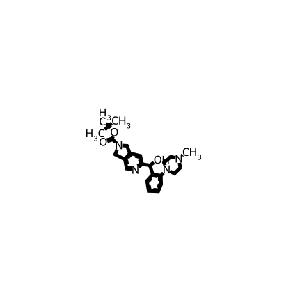 CN1CCN(c2ccccc2C(O)c2cc3c(cn2)CN(C(=O)OC(C)(C)C)C3)CC1